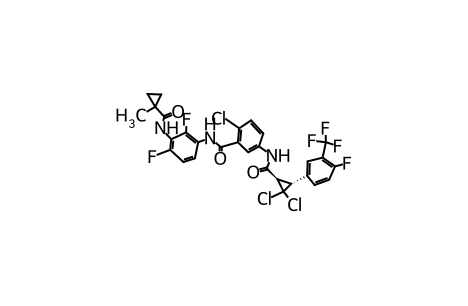 CC1(C(=O)Nc2c(F)ccc(NC(=O)c3cc(NC(=O)[C@H]4[C@H](c5ccc(F)c(C(F)(F)F)c5)C4(Cl)Cl)ccc3Cl)c2F)CC1